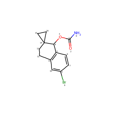 NC(=O)OC1c2ccc(Br)cc2CCC12CC2